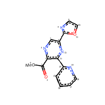 COC(=O)c1ncc(-c2ncco2)nc1-c1ccccn1